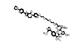 Cc1ncsc1-c1ccc([C@H](C)NC(=O)[C@@H]2C[C@@H](O)CN2C(=O)[C@@H](NC(=O)COCCOCCOCCOc2ccc(N3CCc4nc(-c5ccc(N6CCCC6)nc5)sc4C3=O)cn2)C(C)(C)C)cc1